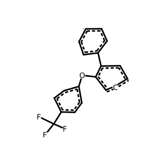 FC(F)(F)c1ccc(Oc2ccccc2-c2cc[c]cc2)cc1